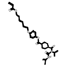 C=CC(=O)OCCCCCCOc1ccc(OC(=O)C2CCC(C(=O)N(C(=O)NC(C)C)C(C)C)CC2)cc1